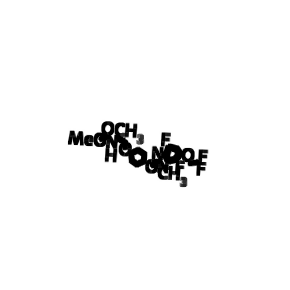 COC(=O)N[C@@H](C)CO[C@H]1CC[C@H](Oc2nc3c(F)cc(OCC(F)F)c(F)c3n2C)CC1